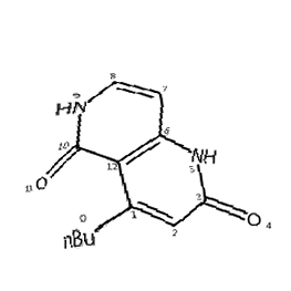 CCCCc1cc(=O)[nH]c2cc[nH]c(=O)c12